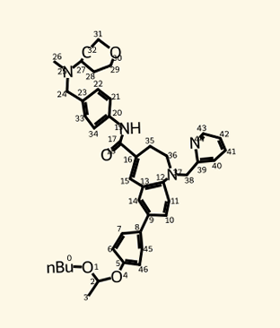 CCCCOC(C)Oc1ccc(-c2ccc3c(c2)C=C(C(=O)Nc2ccc(CN(C)C4CCOCC4)cc2)CCN3Cc2ccccn2)cc1